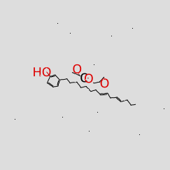 C(OCC1CO1)C1CO1.CCC/C=C/C/C=C/CCCCCCCc1cccc(O)c1